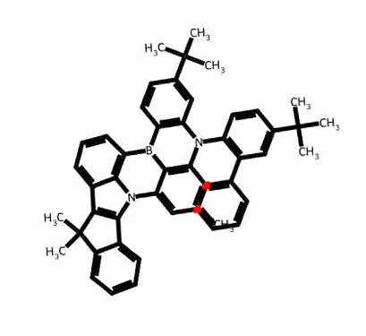 Cc1cc2c3c(c1)-n1c4c(c5cccc(c51)B3c1ccc(C(C)(C)C)cc1N2c1ccc(C(C)(C)C)cc1-c1ccccc1)C(C)(C)c1ccccc1-4